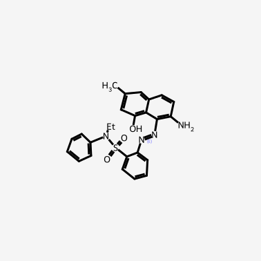 CCN(c1ccccc1)S(=O)(=O)c1ccccc1/N=N/c1c(N)ccc2cc(C)cc(O)c12